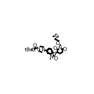 Cn1c(=O)n(C2CCC(=O)N(COCC[Si](C)(C)C)C2=O)c2ccc(N3CCN(C(=O)OC(C)(C)C)CC3)cc21